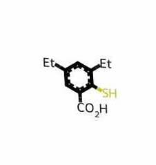 CCc1cc(CC)c(S)c(C(=O)O)c1